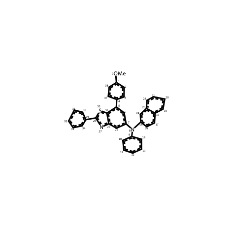 COc1ccc(-c2cc(N(c3ccccc3)c3ccc4ccccc4c3)cc3nc(-c4ccccc4)sc23)cc1